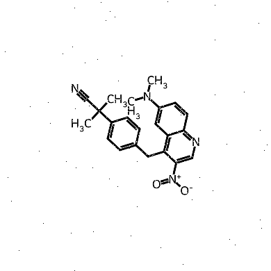 CN(C)c1ccc2ncc([N+](=O)[O-])c(Cc3ccc(C(C)(C)C#N)cc3)c2c1